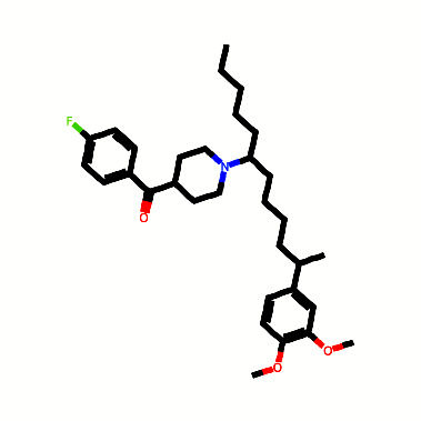 CCCCCC(CCCC[C](C)c1ccc(OC)c(OC)c1)N1CCC(C(=O)c2ccc(F)cc2)CC1